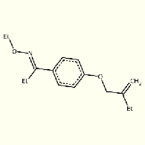 C=C(CC)COc1ccc(/C(CC)=N/OCC)cc1